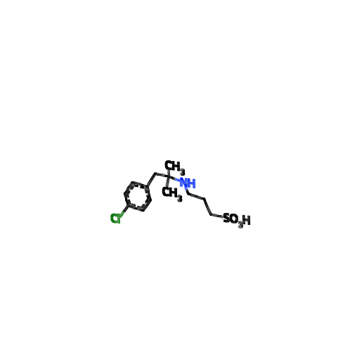 CC(C)(Cc1ccc(Cl)cc1)NCCCS(=O)(=O)O